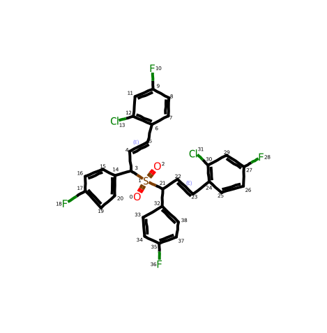 O=S(=O)(C(/C=C/c1ccc(F)cc1Cl)c1ccc(F)cc1)C(/C=C/c1ccc(F)cc1Cl)c1ccc(F)cc1